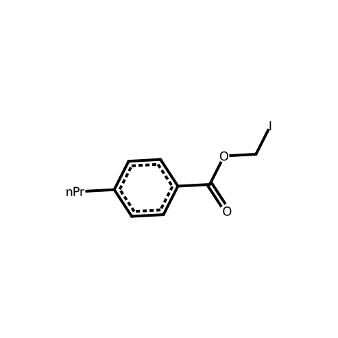 CCCc1ccc(C(=O)OCI)cc1